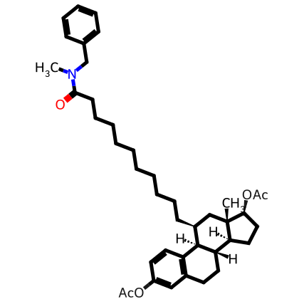 CC(=O)Oc1ccc2c(c1)CC[C@@H]1[C@@H]2[C@@H](CCCCCCCCCCC(=O)N(C)Cc2ccccc2)C[C@]2(C)[C@@H](OC(C)=O)CC[C@@H]12